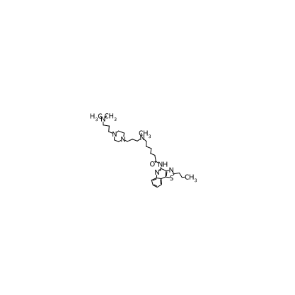 CCCc1nc2c(NC(=O)CCCCCN(C)CCCN3CCN(CCCN(C)C)CC3)nc3ccccc3c2s1